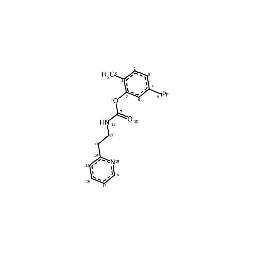 Cc1ccc(C(C)C)cc1OC(=O)NCCc1ccccn1